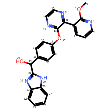 COc1ncccc1-c1nccnc1Oc1ccc(C(O)c2nc3ccccc3[nH]2)cc1